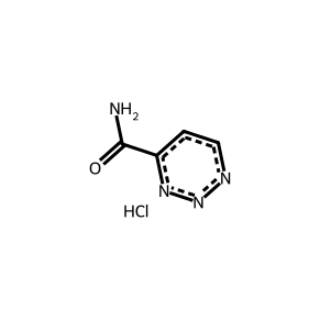 Cl.NC(=O)c1ccnnn1